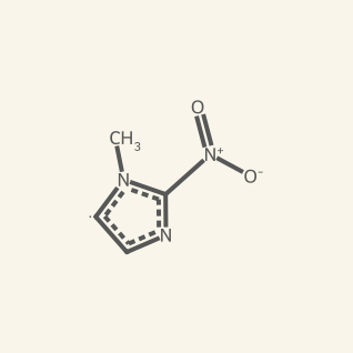 Cn1[c]cnc1[N+](=O)[O-]